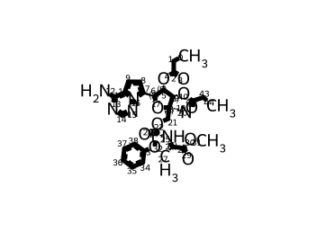 CCC(=O)O[C@H]1[C@H](c2ccc3c(N)ncnn23)O[C@](C#N)(CO[P@](=O)(N[C@@H](C)C(=O)OC)Oc2ccccc2)[C@H]1OC(=O)CC